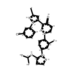 Cc1cc(-c2nn(-c3ccc(-n4nccc4OC(F)F)cc3F)ccc2=O)n(-c2cccc(Cl)c2)n1